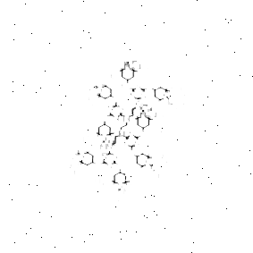 CN1C(C)(C)CC(Oc2nc(NCCN(CCN(CCNc3nc(OC4CC(C)(C)N(C)C(C)(C)C4)nc(OC4CC(C)(C)N(C)C(C)(C)C4)n3)c3nc(OC4CC(C)(C)N(C)C(C)(C)C4)nc(OC4CC(C)(C)N(C)C(C)(C)C4)n3)c3nc(OC4CC(C)(C)N(C)C(C)(C)C4)nc(OC4CC(C)(C)N(C)C(C)(C)C4)n3)nc(OC3CC(C)(C)N(C)C(C)(C)C3)n2)CC1(C)C